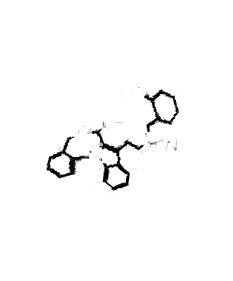 CC1OCc2ccccc2-n2c1c(CCN(C#N)CC1CCCCC1C)c1ccccc12